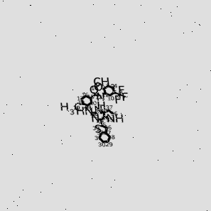 COc1ccc(C(F)(F)F)cc1NC(=O)c1ccc(C)c(Nc2nc(-c3cc4ccccc4s3)c3[nH]ccc3n2)c1